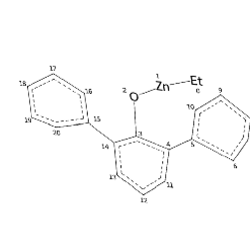 C[CH2][Zn][O]c1c(-c2ccccc2)cccc1-c1ccccc1